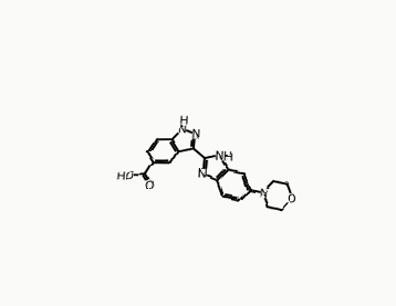 O=C(O)c1ccc2[nH]nc(-c3nc4ccc(N5CCOCC5)cc4[nH]3)c2c1